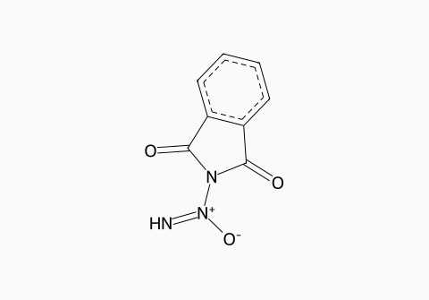 N=[N+]([O-])N1C(=O)c2ccccc2C1=O